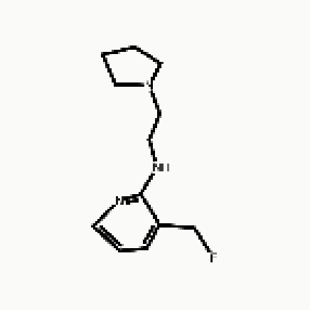 FCc1cccnc1NCCN1CCCC1